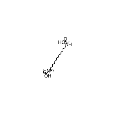 C[C@H](NCCCCCCCCCCCCCCCC(=O)NCC(=O)O)C(=O)O